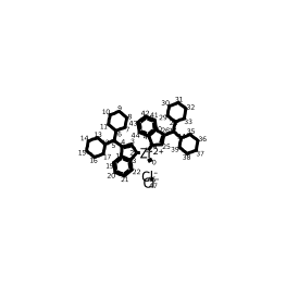 [CH2]=[Zr+2]([CH]1C=C(C(C2CCCCC2)C2CCCCC2)c2ccccc21)[CH]1C=C(C(C2CCCCC2)C2CCCCC2)c2ccccc21.[Cl-].[Cl-]